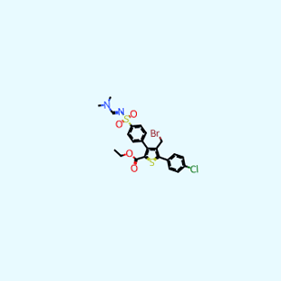 CCOC(=O)c1sc(-c2ccc(Cl)cc2)c(CBr)c1-c1ccc(S(=O)(=O)N=CN(C)C)cc1